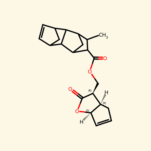 CC1C2CC(C1C(=O)OC[C@@H]1C(=O)O[C@@H]3C=CC[C@H]13)C1C3C=CC(C3)C21